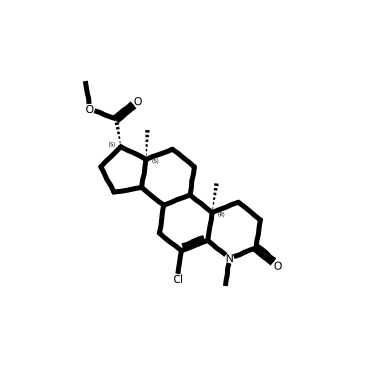 COC(=O)[C@H]1CCC2C3CC(Cl)=C4N(C)C(=O)CC[C@]4(C)C3CC[C@@]21C